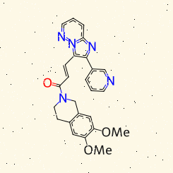 COc1cc2c(cc1OC)CN(C(=O)/C=C/c1c(-c3cccnc3)nc3cccnn13)CC2